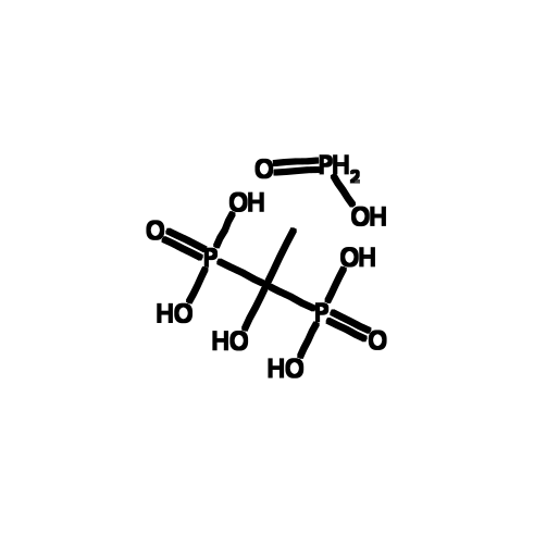 CC(O)(P(=O)(O)O)P(=O)(O)O.O=[PH2]O